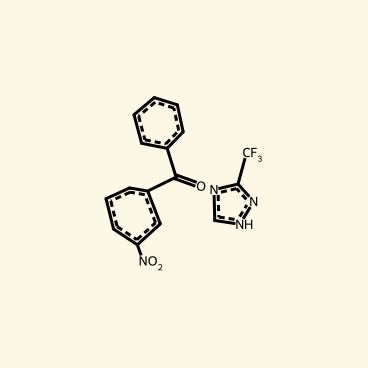 FC(F)(F)c1nc[nH]n1.O=C(c1ccccc1)c1cccc([N+](=O)[O-])c1